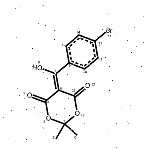 CC1(C)OC(=O)C(=C(O)c2ccc(Br)cc2)C(=O)O1